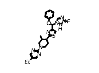 CCc1cnc(N2CCC(c3nc(C(Oc4ccccc4)N4C=NN(F)N4)cs3)C(C)C2)nc1